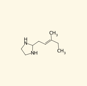 CC/C(C)=C/CC1NCCN1